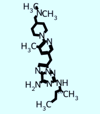 CCC[C@H](C)Nc1nc(N)c2ncc(Cc3cnc(N4CCC(CN(C)C)CC4)c(C)c3)n2n1